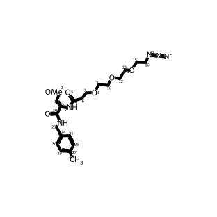 COC=C(NC(=O)CCOCCOCCOCCN=[N+]=[N-])C(=O)NCc1ccc(C)cc1